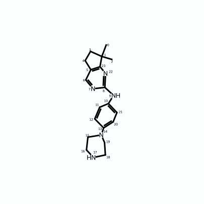 CC1(C)CCc2cnc(Nc3ccc(N4CCNCC4)cc3)nc21